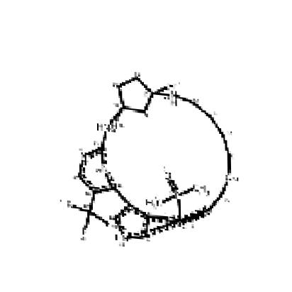 CP(C)(=O)c1c2ccc3c(c[nH]c13)-c1nc(ncc1C(F)(F)F)N[C@H]1CC[C@@H](C1)NCCCCOC2